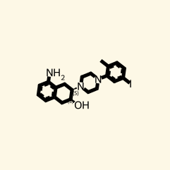 Cc1ccc(I)cc1N1CCN([C@H]2Cc3c(N)cccc3C[C@@H]2O)CC1